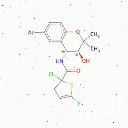 CC(=O)c1ccc2c(c1)[C@@H](NC(=O)C1(Cl)CC=C(F)S1)[C@H](O)C(C)(C)O2